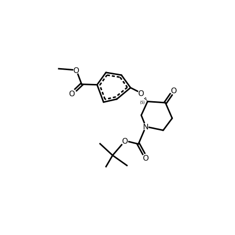 COC(=O)c1ccc(O[C@H]2CN(C(=O)OC(C)(C)C)CCC2=O)cc1